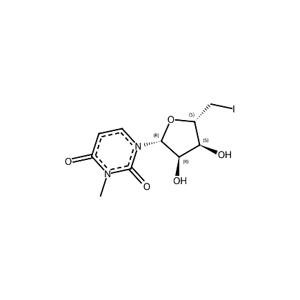 Cn1c(=O)ccn([C@@H]2O[C@H](CI)[C@@H](O)[C@H]2O)c1=O